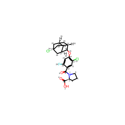 O=C(O)[C@@H]1CCCN1C(=O)c1cc(Cl)c(OC2[C@@H]3C[C@H]4C[C@H]2C[C@](Cl)(C4)C3)cc1F